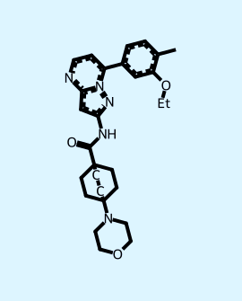 CCOc1cc(-c2ccnc3cc(NC(=O)C45CCC(N6CCOCC6)(CC4)CC5)nn23)ccc1C